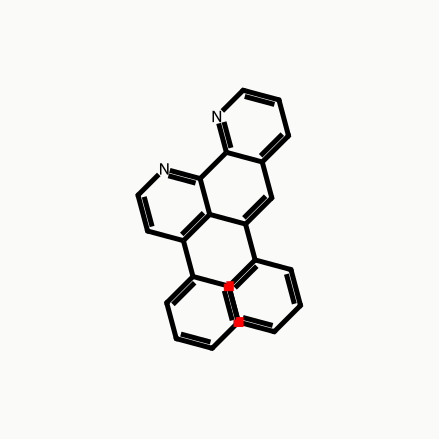 c1ccc(-c2ccnc3c2c(-c2ccccc2)cc2cccnc23)cc1